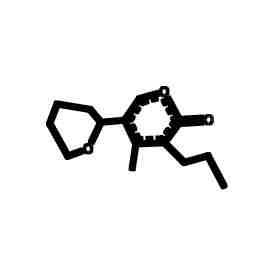 CCCc1c(C)c(C2CCCCO2)coc1=O